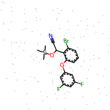 C[Si](C)(C)OC(C#N)c1c(Br)cccc1Oc1cc(F)cc(F)c1